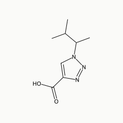 CC(C)C(C)n1cc(C(=O)O)nn1